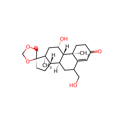 C[C@]12CCC(=O)C=C1C(CO)C[C@@H]1[C@@H]2[C@@H](O)C[C@@]2(C)[C@H]1CC[C@@]21OCOC12COCO2